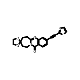 O=c1c2ccc(C#Cc3nccs3)cc2nc2n1CCC1(CC2)OCCO1